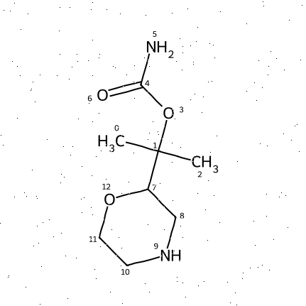 CC(C)(OC(N)=O)C1CNCCO1